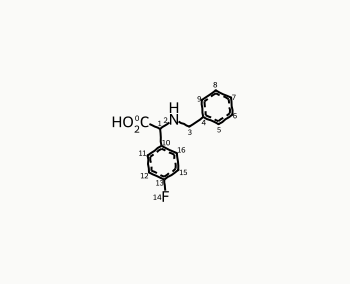 O=C(O)C(NCc1ccccc1)c1ccc(F)cc1